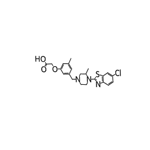 Cc1cc(CN2CCN(c3nc4ccc(Cl)cc4s3)C(C)C2)cc(OCC(=O)O)c1